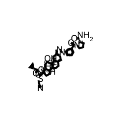 C[C@]12Cc3cnn(-c4cccc(C(=O)N5CCC[C@@H]5C(N)=O)c4)c3C=C1CC[C@H]1[C@@H]3CC[C@](OC(=O)C4CC4)(C(=O)SCC#N)[C@@]3(C)C[C@H](O)[C@@]12F